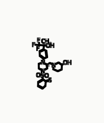 C[C@](O)(c1ccc(N2CCN(S(=O)(=O)C3=CC=CCC3=S)C[C@@H]2CN2CCCC(O)C2)cc1)C(F)(F)F